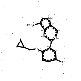 CC(=O)c1ccc(OCC2CC2)c(-c2ncc3[nH]cc(C(=O)O)c3n2)c1